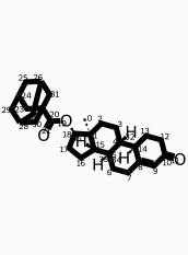 C[C@]12CC[C@H]3[C@@H](CCC4=CC(=O)CC[C@@H]43)[C@@H]1CC[C@@H]2OC(=O)C12CC3CC(CC(C3)C1)C2